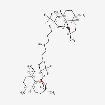 C[C@@H]1CC[C@H]2[C@@H](C)[C@](OCCC[S+]([O-])CCCO[C@@]3(C(F)(F)F)O[C@@H]4O[C@]5(C)CC[C@H]6[C@H](C)CC[C@@H]([C@H]3C)[C@@]46OO5)(C(F)(F)F)O[C@@H]3O[C@]4(C)CC[C@@H]1[C@]32OO4